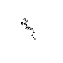 Cc1c(C)c2c(c(C)c1OC(=O)OCCC(COC(=O)c1cccnc1)OC(=O)c1cccnc1)CCC(C)(CCCC(C)CCCC(C)CCCC(C)C)O2